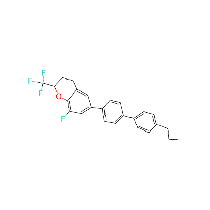 CCCc1ccc(-c2ccc(-c3cc(F)c4c(c3)CCC(C(F)(F)F)O4)cc2)cc1